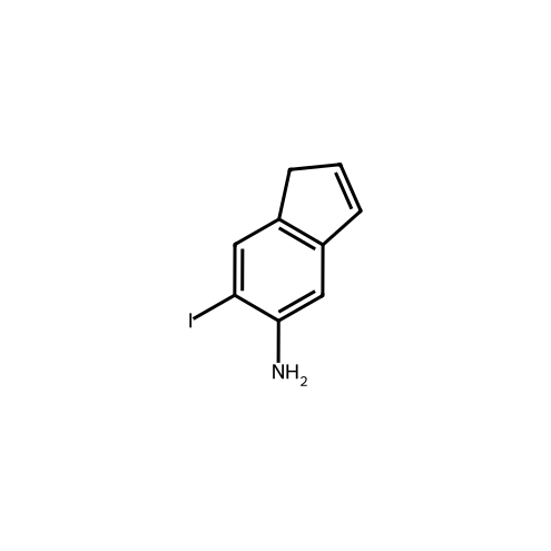 Nc1cc2c(cc1I)CC=C2